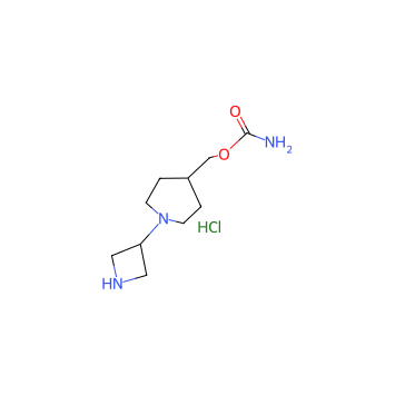 Cl.NC(=O)OCC1CCN(C2CNC2)CC1